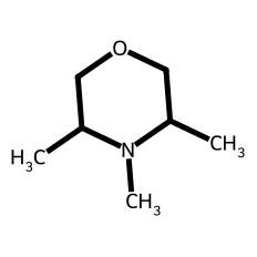 CC1COCC(C)N1C